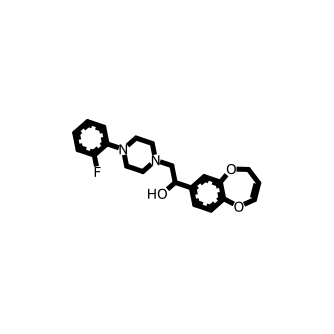 OC(CN1CCN(c2ccccc2F)CC1)c1ccc2c(c1)OCC=CO2